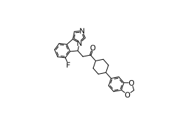 O=C(CC1c2c(F)cccc2-c2cncn21)C1CCC(c2ccc3c(c2)OCO3)CC1